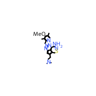 COc1c(C)cnc(Cn2nc3cc(CCN(C)C)c4c-3c(n2)C(N)=NSC4)c1C